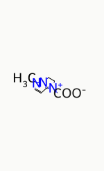 CN1C=CC2=[N+](C(=O)[O-])CCN21